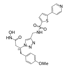 COc1ccc(C[C@@H](CC(=O)NO)n2cc(CNS(=O)(=O)c3ccc(-c4ccncc4)s3)nn2)cc1